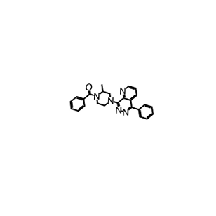 CC1CN(c2nnc(-c3ccccc3)c3cccnc23)CCN1C(=O)c1ccccc1